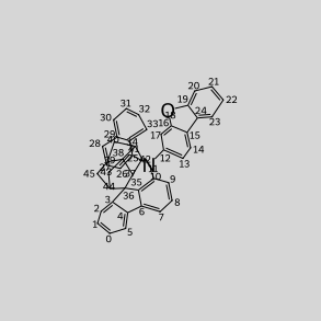 c1ccc2c(c1)-c1cccc(N(c3ccc4c(c3)oc3ccccc34)c3cccc4ccccc34)c1C21C2CC3CC(C2)CC1C3